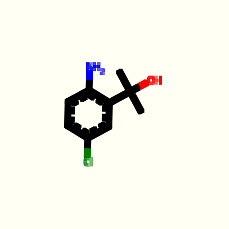 CC(C)(O)c1cc(Cl)ccc1N